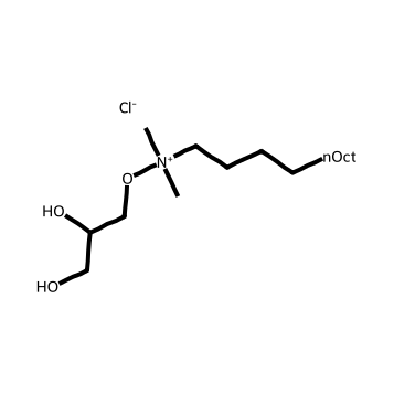 CCCCCCCCCCCC[N+](C)(C)OCC(O)CO.[Cl-]